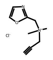 C#CC[N+](C)(C)Cc1ncco1.[Cl-]